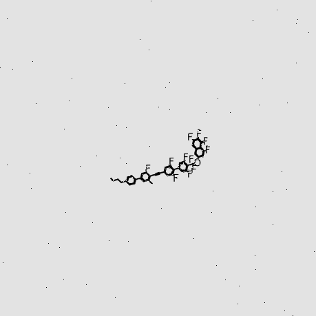 CCCCc1ccc(-c2cc(C)c(C#Cc3cc(F)c(-c4cc(F)c(C(F)(F)Oc5cc(F)c6c(F)c(F)c(F)cc6c5)c(F)c4)c(F)c3)c(F)c2)cc1